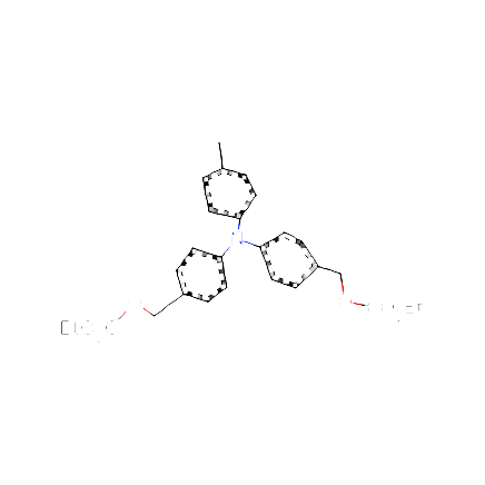 CCOC(=O)OCc1ccc(N(c2ccc(C)cc2)c2ccc(COC(=O)OCC)cc2)cc1